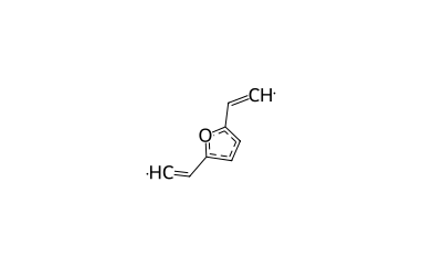 [CH]=Cc1ccc(C=[CH])o1